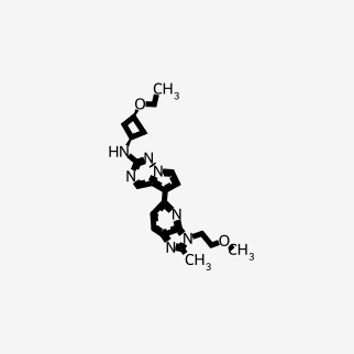 CCO[C@H]1C[C@@H](Nc2ncc3c(-c4ccc5nc(C)n(CCOC)c5n4)ccn3n2)C1